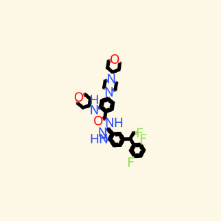 O=C(Nc1n[nH]c2ccc(C(CF)c3cc(F)ccc3F)cc12)c1ccc(N2CCN(C3CCOCC3)CC2)cc1NC1CCOCC1